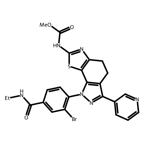 CCNC(=O)c1ccc(-n2nc(-c3cccnc3)c3c2-c2sc(NC(=O)OC)nc2CC3)c(Br)c1